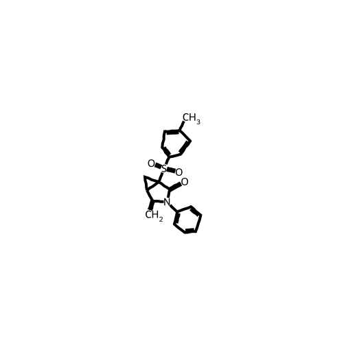 C=C1C2CC2(S(=O)(=O)c2ccc(C)cc2)C(=O)N1c1ccccc1